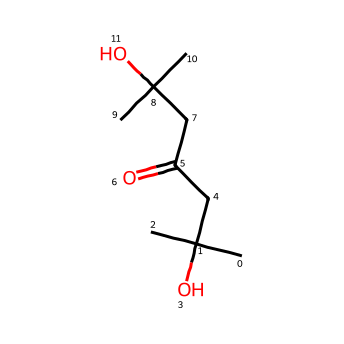 CC(C)(O)CC(=O)CC(C)(C)O